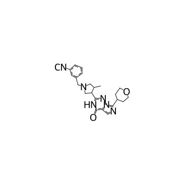 [C-]#[N+]c1cccc(CN2CC(C)C(c3nn4c(C5CCOCC5)ncc4c(=O)[nH]3)C2)c1